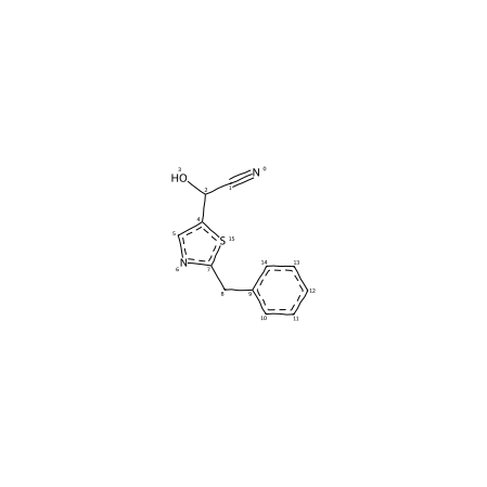 N#CC(O)c1cnc(Cc2ccccc2)s1